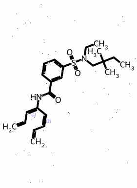 C=C/C=C\C(=C/C=C)NC(=O)c1cccc(S(=O)(=O)N(CC)CC(C)(C)CC)c1